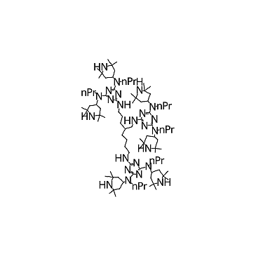 CCCN(c1nc(NCCCCC(CCCNc2nc(N(CCC)C3CC(C)(C)NC(C)(C)C3)nc(N(CCC)C3CC(C)(C)NC(C)(C)C3)n2)CNc2nc(N(CCC)C3CC(C)(C)NC(C)(C)C3)nc(N(CCC)C3CC(C)(C)NC(C)(C)C3)n2)nc(N(CCC)C2CC(C)(C)NC(C)(C)C2)n1)C1CC(C)(C)NC(C)(C)C1